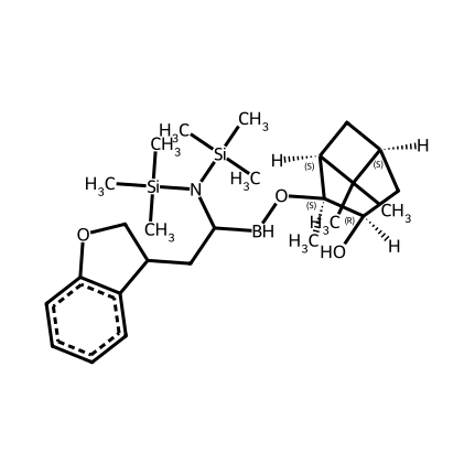 CC1(C)[C@@H]2C[C@@H](O)[C@@](C)(OBC(CC3COc4ccccc43)N([Si](C)(C)C)[Si](C)(C)C)[C@H]1C2